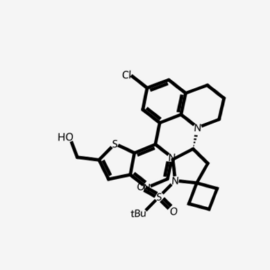 CC(C)(C)S(=O)(=O)N1C[C@H](N2CCCc3cc(Cl)cc(-c4ncnc5cc(CO)sc45)c32)CC12CCC2